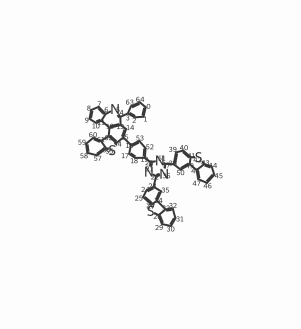 c1ccc(-c2nc3ccccc3c3c2cc(-c2ccc(-c4nc(-c5ccc6sc7ccccc7c6c5)nc(-c5ccc6sc7ccccc7c6c5)n4)cc2)c2sc4ccccc4c23)cc1